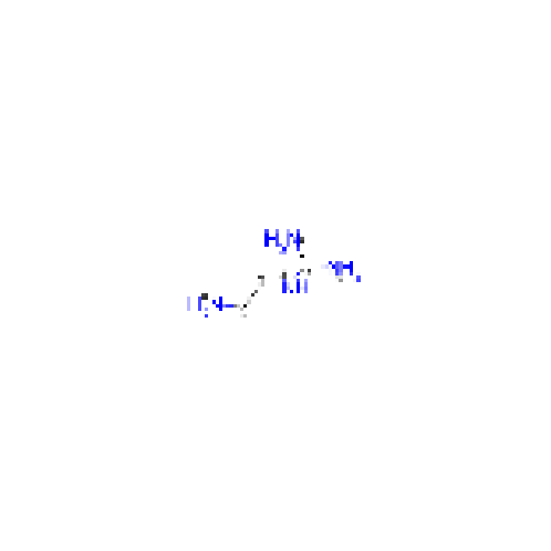 NCCNC(N)N